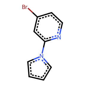 Brc1ccnc(-n2cccc2)c1